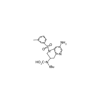 Cc1cccc(S(=O)(=O)N2CC(N(C(=O)O)C(C)(C)C)Cc3ncc(N)cc32)c1